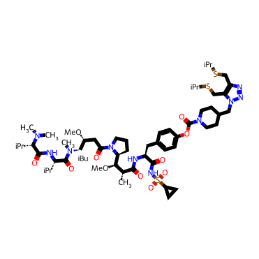 CC[C@H](C)[C@@H]([C@@H](CC(=O)N1CCC[C@H]1[C@H](OC)[C@@H](C)C(=O)N[C@@H](Cc1ccc(OC(=O)N2CCC(Cn3nnc(CSC(C)C)c3CSC(C)C)CC2)cc1)C(=O)NS(=O)(=O)C1CC1)OC)N(C)C(=O)[C@@H](NC(=O)[C@H](C(C)C)N(C)C)C(C)C